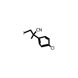 CC(C#N)(CI)c1ccc(Cl)cc1